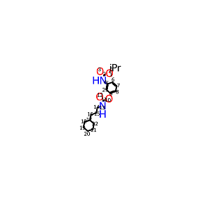 CC(C)OC(=O)Nc1cccc(OC(=O)NCCCC2CCCCC2)c1